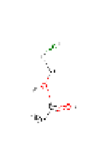 C[C](C)C(=O)OCCF